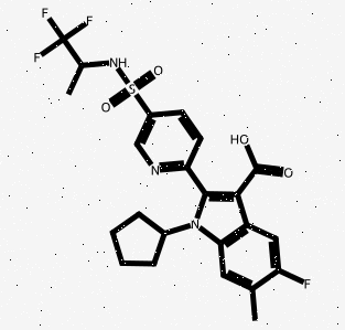 Cc1cc2c(cc1F)c(C(=O)O)c(-c1ccc(S(=O)(=O)NC(C)C(F)(F)F)cn1)n2C1CCCC1